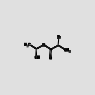 CC(O)OC(=O)C(C)Br